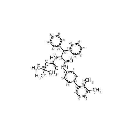 Cc1nccc(-c2ccc(NC(=O)[C@@H](NC(=O)OC(C)(C)C)C(c3ccccc3)c3ccccc3)cc2)c1C